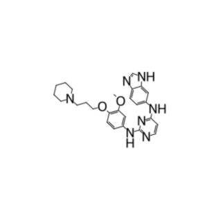 COc1cc(Nc2nccc(Nc3ccc4nc[nH]c4c3)n2)ccc1OCCCN1CCCCC1